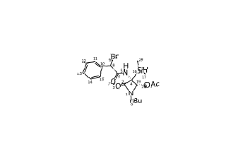 CCCCN1C(=O)[C@@](NC(=O)C(Br)c2ccccc2)([SiH](C)C)[C@@H]1OC(C)=O